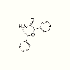 CC(OC(C(N)=O)c1ccccc1)c1ccccc1